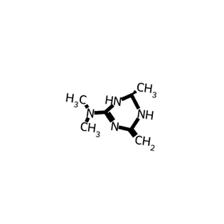 C=C1N=C(N(C)C)N[C@@H](C)N1